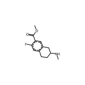 CNC1CCc2cc(F)c(C(=O)OC)cc2C1